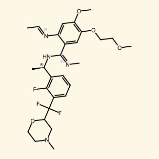 C/C=N/c1cc(OC)c(OCCOC)cc1/C(=N\C)N[C@H](C)c1cccc(C(F)(F)C2CN(C)CCO2)c1F